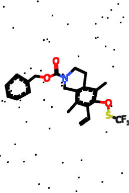 C=Cc1c(C)c2c(c(C)c1OSC(F)(F)F)CCN(C(=O)OCc1ccccc1)C2